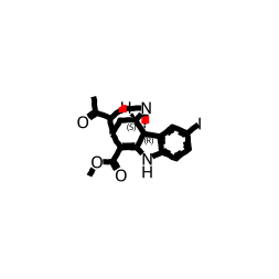 COC(=O)C1=C2Nc3ccc(I)cc3[C@@]23CCN2CC(C(C)=O)C1C[C@H]23